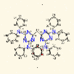 c1ccc(N(c2ccccc2)c2nc(Cc3nc(N(c4ccccc4)c4ccccc4)nc(N(c4ccccc4)c4ccccc4)n3)nc(N(c3ccccc3)c3ccccc3)n2)cc1